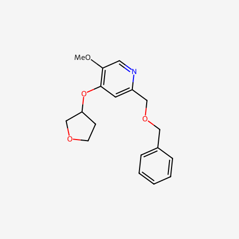 COc1cnc(COCc2ccccc2)cc1OC1CCOC1